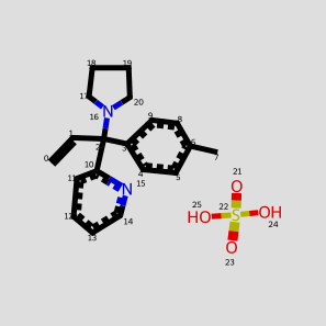 C=CC(c1ccc(C)cc1)(c1ccccn1)N1CCCC1.O=S(=O)(O)O